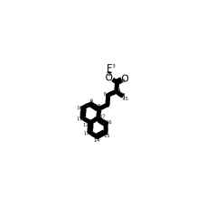 O=C(OF)C(I)CCc1cccc2ccccc12